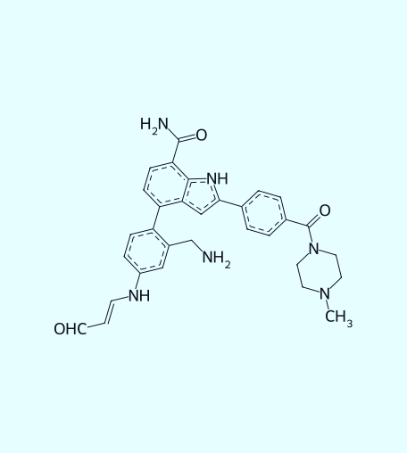 CN1CCN(C(=O)c2ccc(-c3cc4c(-c5ccc(NC=CC=O)cc5CN)ccc(C(N)=O)c4[nH]3)cc2)CC1